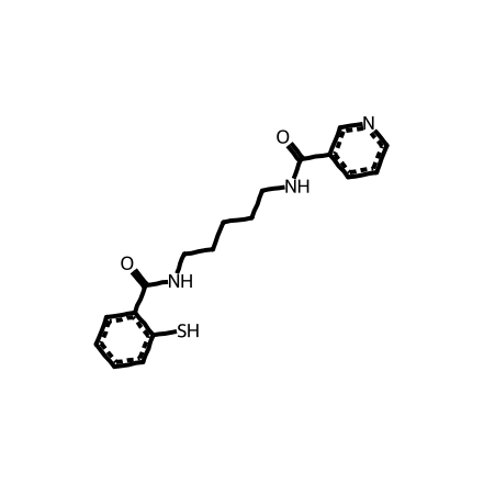 O=C(NCCCCCNC(=O)c1ccccc1S)c1cccnc1